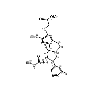 COC(=O)COc1cc2c(cc1OC)[C@H]1C[C@@H](NC(=O)OC(C)(C)C)[C@H](c3cccc(C)c3)CN1CC2